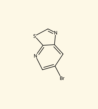 Brc1cnc2scnc2c1